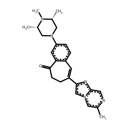 Cc1cn2cc(C3=Cc4ccc(N5C[C@@H](C)N(C)[C@@H](C)C5)cc4C(=O)CC3)nc2cn1